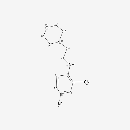 N#Cc1cc(Br)ccc1NCCN1CCOCC1